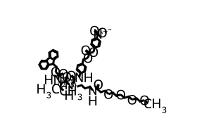 COCCOCCOCCOCCC(=O)NCCCC[C@H](NC(=O)[C@@H](NC(=O)OCC1c2ccccc2-c2ccccc21)C(C)C)C(=O)Nc1ccc(COC(=O)Oc2ccc([N+](=O)[O-])cc2)cc1